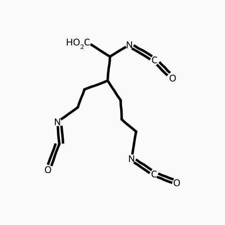 O=C=NCCCC(CCN=C=O)C(N=C=O)C(=O)O